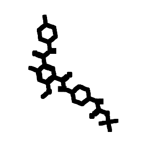 COc1cc(C)c(C(=O)NC2CCC(C)CC2)cc1C(=O)NC1CCC(NC(=O)OC(C)(C)C)CC1